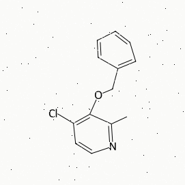 Cc1nccc(Cl)c1OCc1ccccc1